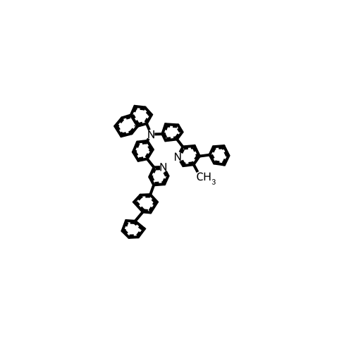 Cc1cnc(-c2cccc(N(c3cccc(-c4cc(-c5ccc(-c6ccccc6)cc5)ccn4)c3)c3cccc4ccccc34)c2)cc1-c1ccccc1